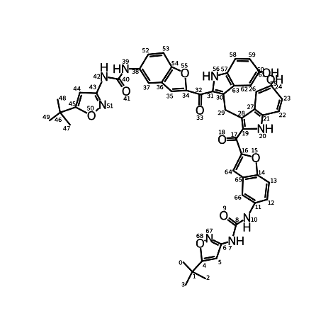 CC(C)(C)c1cc(NC(=O)Nc2ccc3oc(C(=O)c4[nH]c5ccc(O)cc5c4Cc4c(C(=O)c5cc6cc(NC(=O)Nc7cc(C(C)(C)C)on7)ccc6o5)[nH]c5ccc(O)cc45)cc3c2)no1